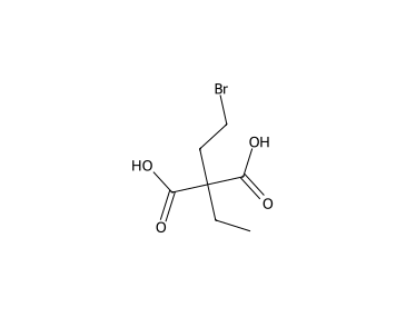 CCC(CCBr)(C(=O)O)C(=O)O